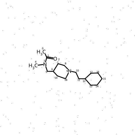 CC(=O)N(C)CC1CCN(CCC2CCCCC2)CC1